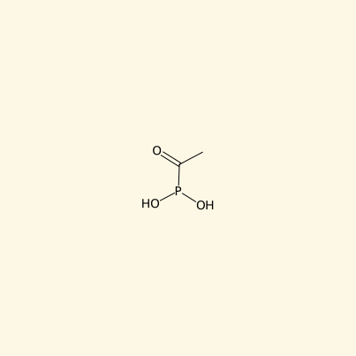 CC(=O)P(O)O